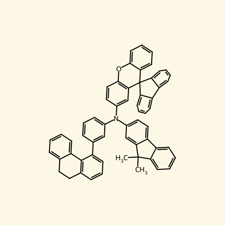 CC1(C)c2ccccc2-c2ccc(N(c3cccc(-c4cccc5c4-c4ccccc4CC5)c3)c3ccc4c(c3)C3(c5ccccc5O4)c4ccccc4-c4ccccc43)cc21